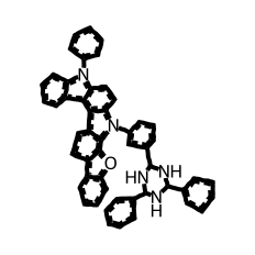 c1ccc(C2NC(c3ccccc3)NC(c3cccc(-n4c5ccc6c(c7ccccc7n6-c6ccccc6)c5c5ccc6c7ccccc7oc6c54)c3)N2)cc1